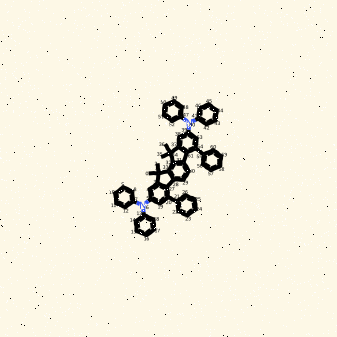 CC1(C)c2cc(N(c3ccccc3)c3ccccc3)cc(-c3ccccc3)c2-c2ccc3c(c21)C(C)(C)c1cc(N(c2ccccc2)c2ccccc2)cc(-c2ccccc2)c1-3